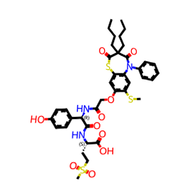 CCCCC1(CCCC)C(=O)Sc2cc(OCC(=O)N[C@@H](C(=O)N[C@@H](CCS(C)(=O)=O)C(=O)O)c3ccc(O)cc3)c(SC)cc2N(c2ccccc2)C1=O